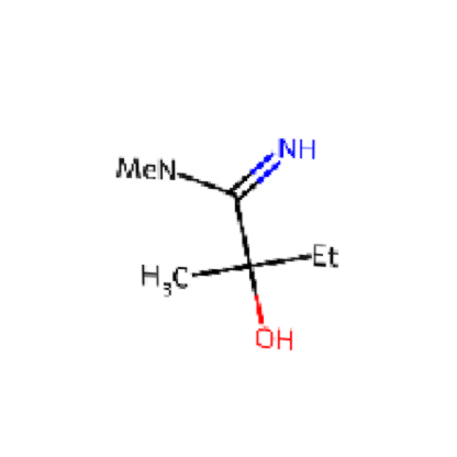 CCC(C)(O)C(=N)NC